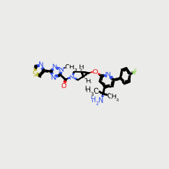 Cn1nc(-c2cscn2)nc1C(=O)N1C[C@@H]2[C@H](C1)[C@@H]2Oc1cc(C(C)(C)N)cc(-c2ccc(F)cc2)n1